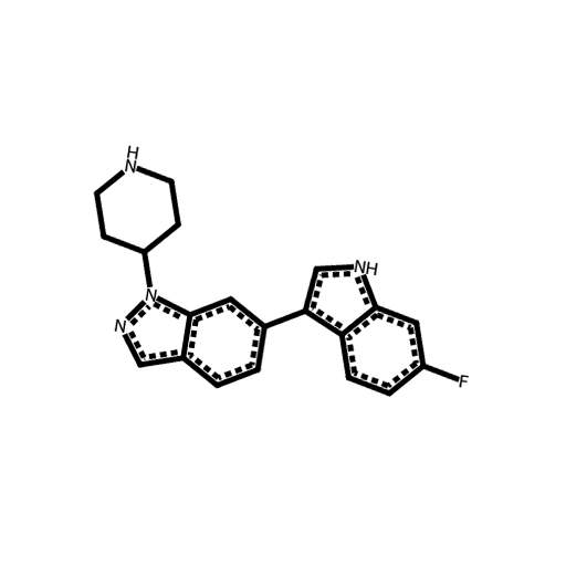 Fc1ccc2c(-c3ccc4cnn(C5CCNCC5)c4c3)c[nH]c2c1